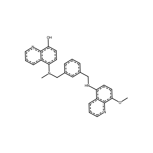 COc1ccc(NCc2cccc(CN(C)c3ccc(O)c4ncccc34)c2)c2cccnc12